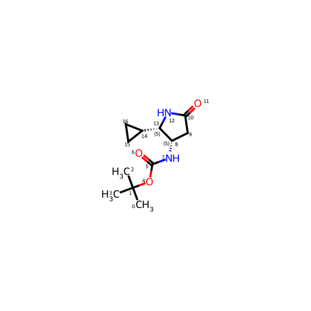 CC(C)(C)OC(=O)N[C@H]1CC(=O)N[C@H]1C1CC1